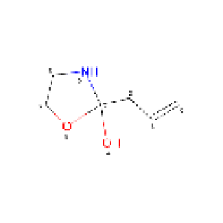 C=CCC1(O)NCCO1